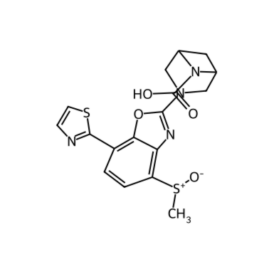 C[S+]([O-])c1ccc(-c2nccs2)c2oc(N3CC4CC(C3)N4C(=O)O)nc12